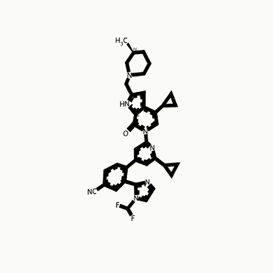 C[C@H]1CCCN(Cc2cc3c(C4CC4)cn(-c4cc(-c5ccc(C#N)cc5-c5nccn5C(F)F)cc(C5CC5)n4)c(=O)c3[nH]2)C1